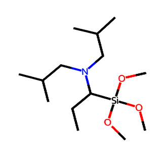 CCC(N(CC(C)C)CC(C)C)[Si](OC)(OC)OC